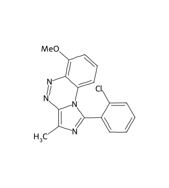 COc1cccc2c1nnc1c(C)nc(-c3ccccc3Cl)n12